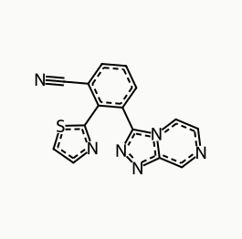 N#Cc1cccc(-c2nnc3cnccn23)c1-c1nccs1